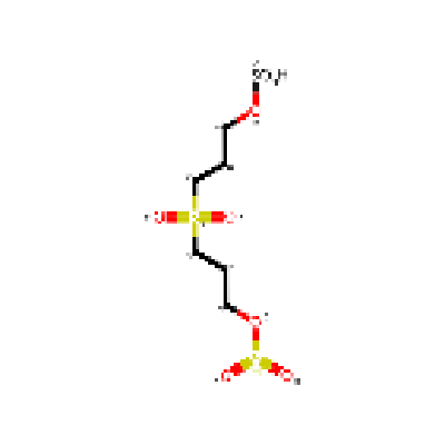 O=[SH](=O)OCCCS(=O)(=O)CCCOS(=O)(=O)O